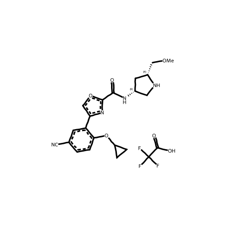 COC[C@H]1C[C@@H](NC(=O)c2nc(-c3cc(C#N)ccc3OC3CC3)co2)CN1.O=C(O)C(F)(F)F